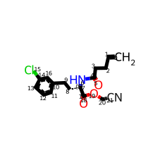 C=CCCC(=O)N[C@@H](CCc1cccc(Cl)c1)C(=O)OCC#N